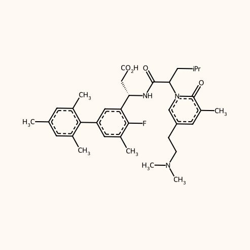 Cc1cc(C)c(-c2cc(C)c(F)c([C@H](CC(=O)O)NC(=O)C(CC(C)C)n3cc(CCN(C)C)cc(C)c3=O)c2)c(C)c1